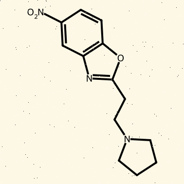 O=[N+]([O-])c1ccc2oc(CCN3CCCC3)nc2c1